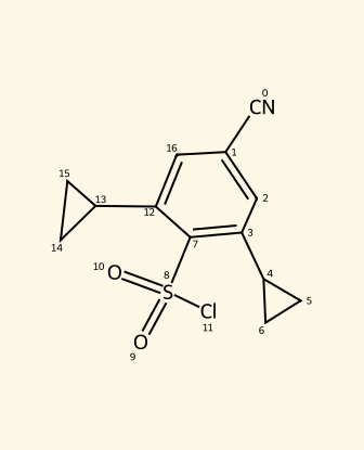 N#Cc1cc(C2CC2)c(S(=O)(=O)Cl)c(C2CC2)c1